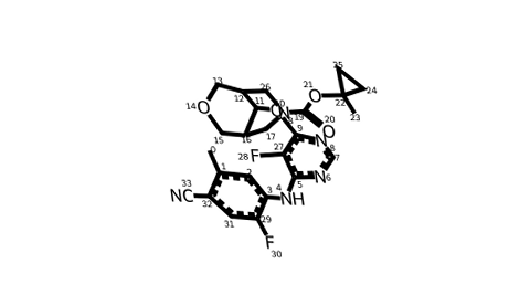 Cc1cc(Nc2ncnc(OC3C4COCC3CN(C(=O)OC3(C)CC3)C4)c2F)c(F)cc1C#N